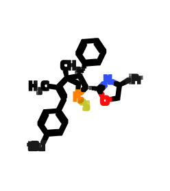 CC1=C(c2ccc(C(C)(C)C)cc2)[P@@]2(=S)C[C@@]1(C)[C@H](c1ccccc1)[C@@H]2C1=N[C@@H](C(C)C)CO1